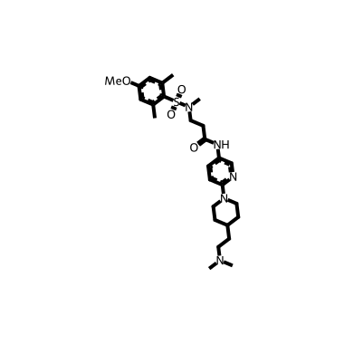 COc1cc(C)c(S(=O)(=O)N(C)CCC(=O)Nc2ccc(N3CCC(CCN(C)C)CC3)nc2)c(C)c1